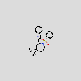 CC1(C)CCCN(S(=O)(=O)c2ccccc2)C(/C=C/c2cc[c]cc2)C1